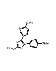 COc1ccc(-c2oc(CO)nc2-c2ccc(OC)nc2)cc1